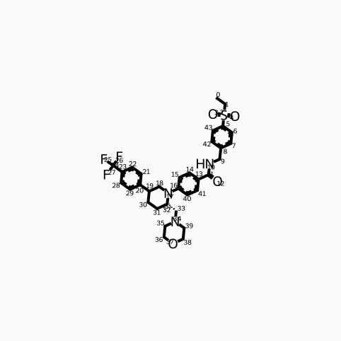 CCS(=O)(=O)c1ccc(CNC(=O)c2ccc(N3CC(c4ccc(C(F)(F)F)cc4)CC[C@H]3CN3CCOCC3)cc2)cc1